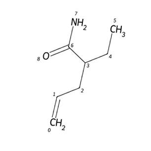 C=CCC(CC)C(N)=O